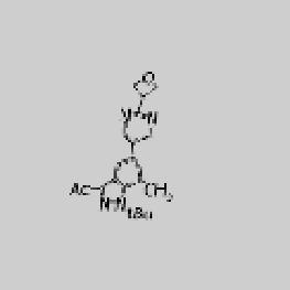 CC(=O)c1nn(C(C)(C)C)c2c(C)cc(-c3cnc(C4COC4)nc3)cc12